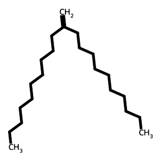 C=C(CCCCCCCCCC)CCCCCCCCCC